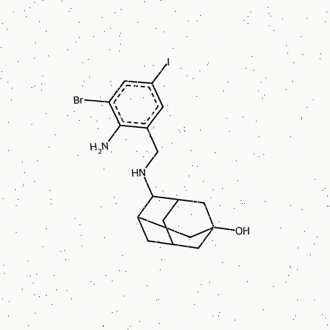 Nc1c(Br)cc(I)cc1CNC1C2CC3CC1CC(O)(C3)C2